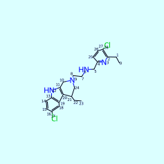 CCc1nc(CNCCN2Cc3[nH]c4ccc(Cl)cc4c3C(CC)C2)ccc1Cl